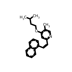 Cc1cnc(/C=C\c2cccc3ccccc23)cc1OCCC(C)C